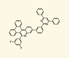 Fc1cc(F)cc(-c2nc3cc(-c4cccc(-c5nc(-c6ccccc6)cc(-c6ccccc6)n5)c4)ccc3c3c4ccccc4c4ccccc4c23)c1